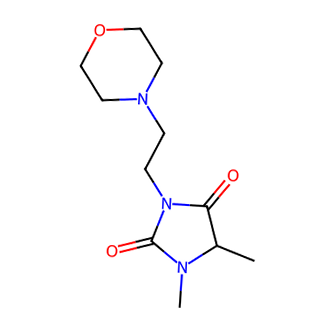 CC1C(=O)N(CCN2CCOCC2)C(=O)N1C